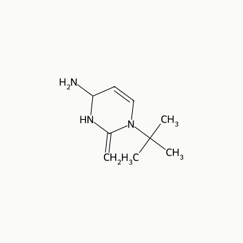 C=C1NC(N)C=CN1C(C)(C)C